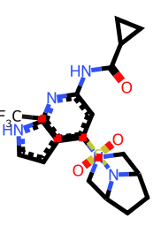 O=C(Nc1cc(N2CC3CCC(C2)N3S(=O)(=O)CCCC(F)(F)F)c2cc[nH]c2n1)C1CC1